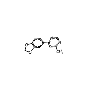 Cc1cc(-c2ccc3c(c2)OCO3)ncn1